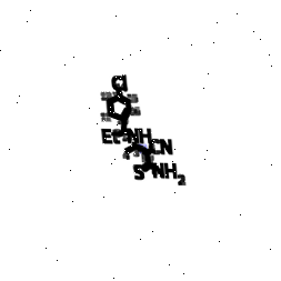 CCC(N/C(C)=C(\C#N)C(N)=S)c1ccc(Cl)cc1